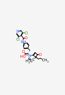 CCC[C@@]1(C)C(=O)C=C1N(CC)[C@@H](Cc1ccc(NC(=O)c2c(Cl)cncc2Cl)cc1)C(=O)O